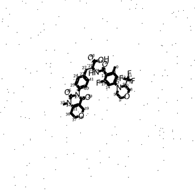 Cc1cc(N2CCOC[C@@H]2C(F)(F)F)cc(F)c1C(=O)N[C@@H](Cc1ccc(-n2c(=O)c3c(n(C)c2=O)CCOC3)cc1)C(=O)O